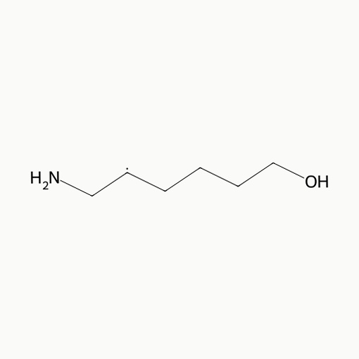 NC[CH]CCCCO